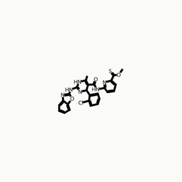 COC(=S)c1cccc(NC(=O)C2=C(C)NC(Nc3nc4ccccc4o3)=NC2c2ccccc2Cl)n1